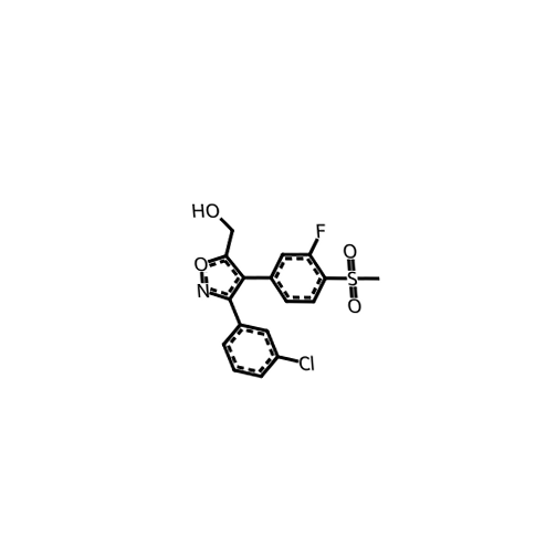 CS(=O)(=O)c1ccc(-c2c(-c3cccc(Cl)c3)noc2CO)cc1F